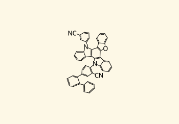 N#Cc1cccc(-n2c3ccccc3c3c4c(c5ccccc5n4-c4ccc(-c5ccccc5-c5ccccc5)cc4C#N)c4oc5ccccc5c4c32)c1